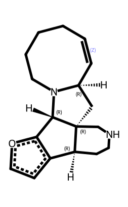 C1=C\[C@H]2C[C@]34CNCC[C@H]3c3ccoc3[C@@H]4N2CCCC/1